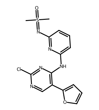 CS(C)(=O)=Nc1cccc(Nc2nc(Cl)ncc2-c2ccco2)n1